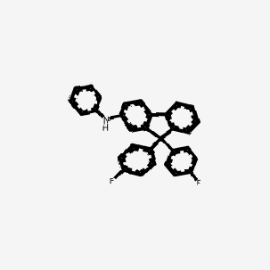 Fc1ccc(C2(c3ccc(F)cc3)c3ccccc3-c3ccc(Nc4ccccc4)cc32)cc1